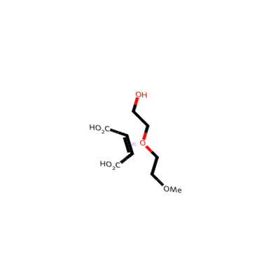 COCCOCCO.O=C(O)/C=C\C(=O)O